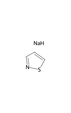 [NaH].c1cnsc1